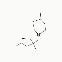 CCCC(C)(CC)CN1CCC(C)CC1